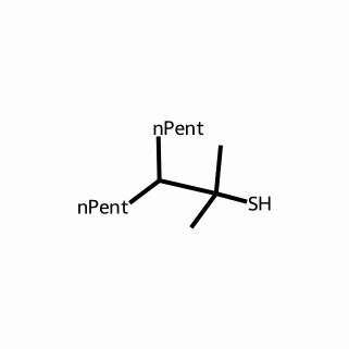 CCCCCC(CCCCC)C(C)(C)S